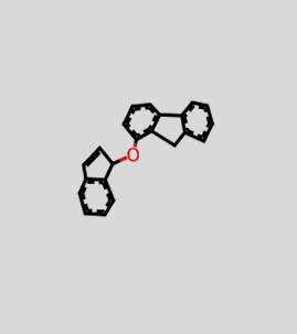 C1=CC(Oc2cccc3c2Cc2ccccc2-3)c2ccccc21